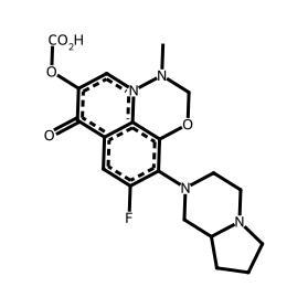 CN1COc2c(N3CCN4CCCC4C3)c(F)cc3c(=O)c(OC(=O)O)cn1c23